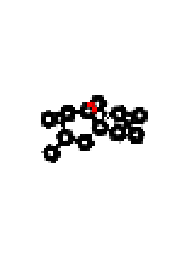 c1ccc(-c2cc(-c3ccccc3)cc(-n3c4ccccc4c4ccc(-c5cccc(-c6ccccc6N(c6ccccc6)c6ccc7c(c6)C(c6ccccc6)(c6ccccc6)c6ccccc6-7)c5)cc43)c2)cc1